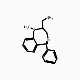 CN1c2ccccc2C(c2ccccc2)=NCC1CN